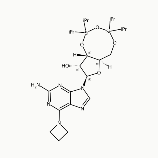 CC(C)[Si]1(C(C)C)OC[C@H]2O[C@@H](n3cnc4c(N5CCC5)nc(N)nc43)[C@H](O)[C@@H]2O[Si](C(C)C)(C(C)C)O1